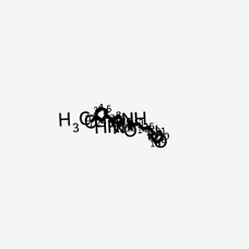 COc1cccc(-c2cc(NC(=O)CCCN3CCOCC3)n[nH]2)c1